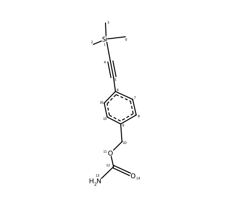 C[Si](C)(C)C#Cc1ccc(COC(N)=O)cc1